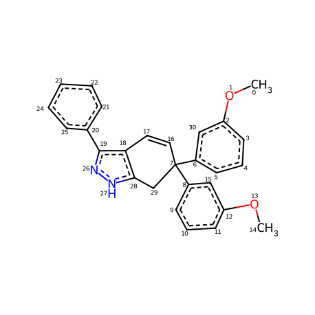 COc1cccc(C2(c3cccc(OC)c3)C=Cc3c(-c4ccccc4)n[nH]c3C2)c1